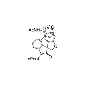 CCCCCN1C(=O)C2(COc3cc4c(cc32)OCO4)c2c(-c3ccccc3NC(C)=O)cccc21